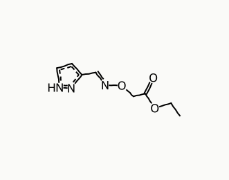 CCOC(=O)CO/N=C/c1cc[nH]n1